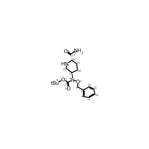 CC(C)(C)OC(=O)N(OCc1ccccc1)[C@@H]1CC[C@@H](C(N)=O)NC1